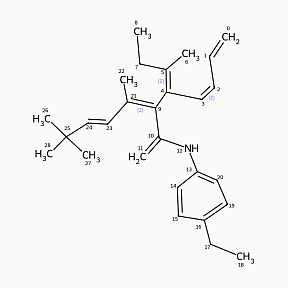 C=C\C=C/C(=C(\C)CC)C(/C(=C)Nc1ccc(CC)cc1)=C(\C)C=CC(C)(C)C